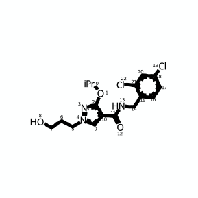 CC(C)Oc1nn(CCCO)cc1C(=O)NCc1ccc(Cl)cc1Cl